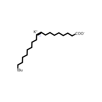 CC(C)(C)CCCCCCCC/C=C\CCCCCCCC(=O)[O-].[K+]